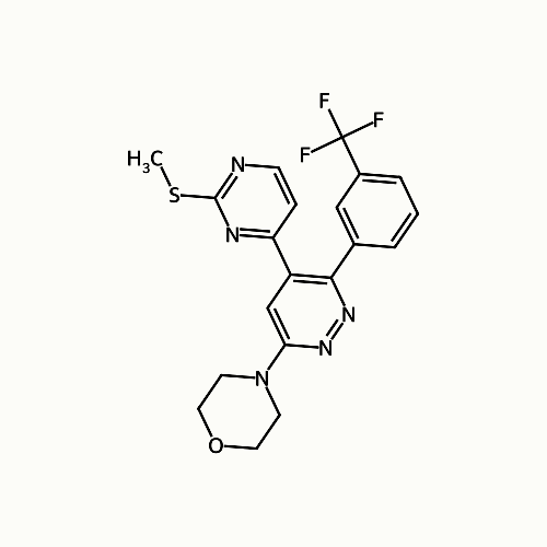 CSc1nccc(-c2cc(N3CCOCC3)nnc2-c2cccc(C(F)(F)F)c2)n1